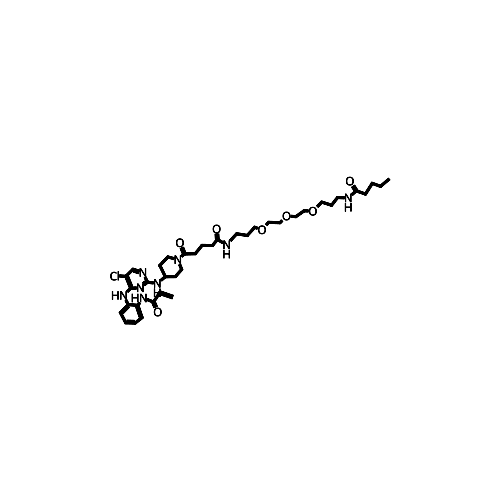 C=CC(=O)Nc1ccccc1Nc1nc(NC2CCN(C(=O)CCCC(=O)NCCCOCCOCCOCCCNC(=O)CCCC)CC2)ncc1Cl